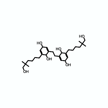 CC(C)(CO)CCCCC1=CC(O)C=C(CCC2=CC(O)C=C(CCCCC(C)(C)CO)C2O)C1O